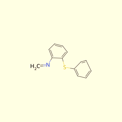 C=Nc1ccccc1Sc1ccccc1